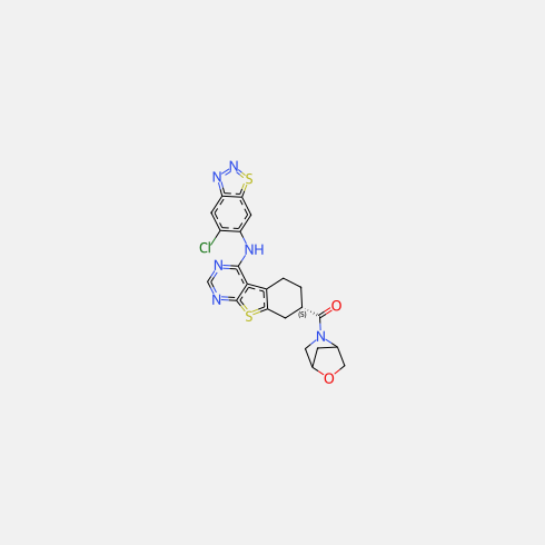 O=C([C@H]1CCc2c(sc3ncnc(Nc4cc5snnc5cc4Cl)c23)C1)N1CC2CC1CO2